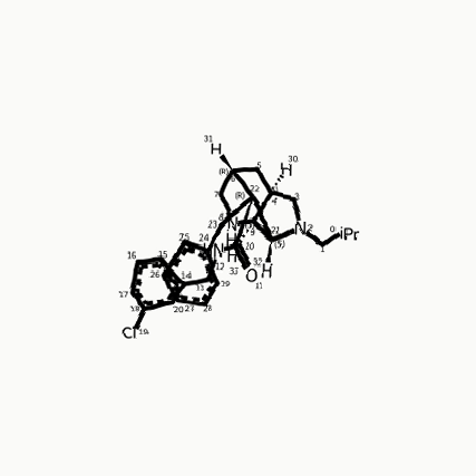 CC(C)CN1C[C@@H]2C[C@H]3CN[C@]2(C(=O)NCc2cccc(Cl)c2)[C@@H]1[C@@H]3Cc1ccccc1